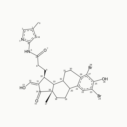 Cc1cnc(NC(=O)CC[C@@H]2/C(=C/O)C(=O)[C@@]3(C)CCC4c5cc(Br)c(O)c(Br)c5CCC4C23)s1